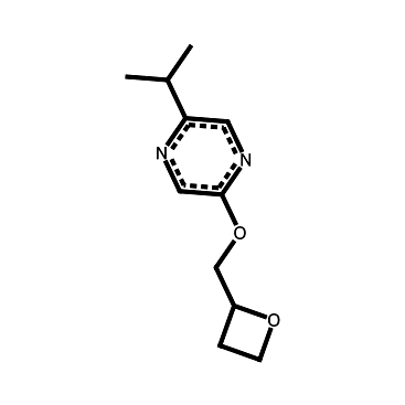 CC(C)c1cnc(OCC2CCO2)cn1